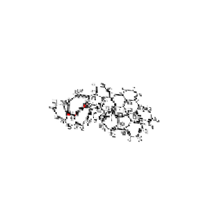 CCc1ccc2cccc3c2c1C1(c2ccccc2-c2ccc(N(c4ccc5sc6ccccc6c5c4)c4ccccc4-c4ccccc4)cc21)c1ccccc1-3